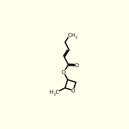 CCC=CC(=O)OC1COC1C